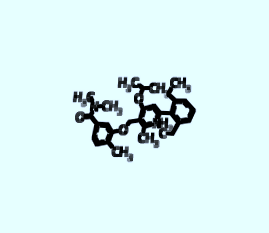 CCc1cccc(CC)c1-c1cc(OC(C)C)c(COc2cc(C(=O)N(C)C)ccc2C)c(C)n1